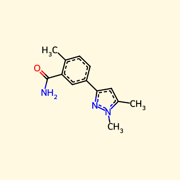 Cc1ccc(-c2cc(C)n(C)n2)cc1C(N)=O